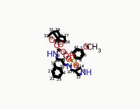 COc1ccc(S(=O)(=O)N(CC2CNC2)C[C@@H](O)[C@H](Cc2ccccc2)NC(=O)OC2C3COC4OC2CC4C3)cc1